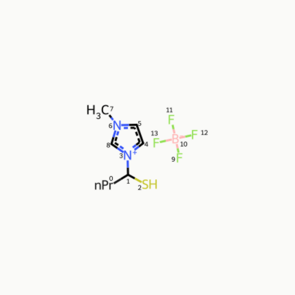 CCCC(S)[n+]1ccn(C)c1.F[B-](F)(F)F